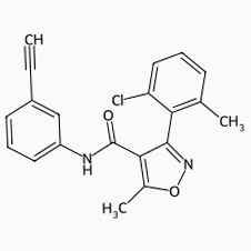 C#Cc1cccc(NC(=O)c2c(-c3c(C)cccc3Cl)noc2C)c1